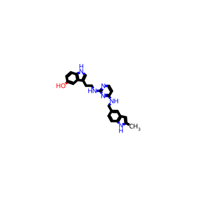 Cc1cc2cc(CNc3ccnc(NCCc4c[nH]c5ccc(O)cc45)n3)ccc2[nH]1